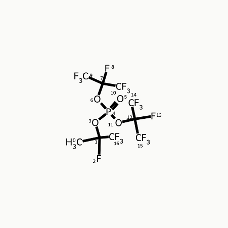 CC(F)(OP(=O)(OC(F)(C(F)(F)F)C(F)(F)F)OC(F)(C(F)(F)F)C(F)(F)F)C(F)(F)F